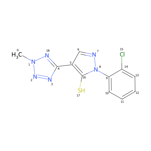 Cn1nnc(-c2cnn(-c3ccccc3Cl)c2S)n1